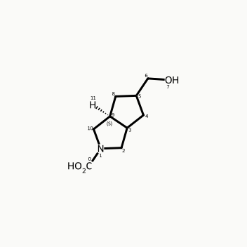 O=C(O)N1CC2CC(CO)C[C@@H]2C1